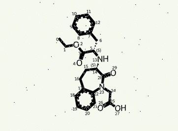 CCOC(=O)[C@H](Cc1ccccc1)N[C@H]1CCc2ccccc2N(CC(=O)O)C1=O